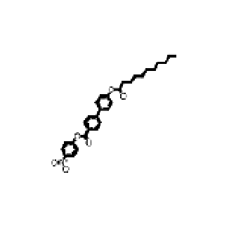 CCCCCCCCCCC(=O)Oc1ccc(-c2ccc(C(=O)Oc3ccc([N+](=O)[O-])cc3)cc2)cc1